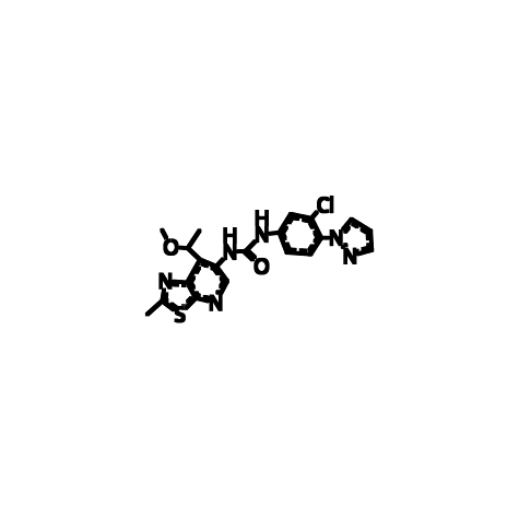 COC(C)c1c(NC(=O)Nc2ccc(-n3cccn3)c(Cl)c2)cnc2sc(C)nc12